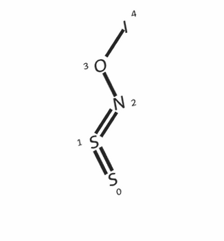 S=S=NOI